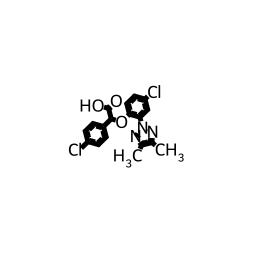 Cc1nn(-c2cc(Cl)ccc2OC(C(=O)O)c2ccc(Cl)cc2)nc1C